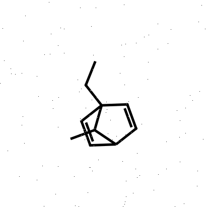 CCC12C=CC(C=C1)C2C